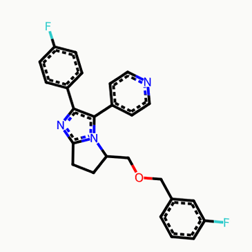 Fc1ccc(-c2nc3n(c2-c2ccncc2)C(COCc2cccc(F)c2)CC3)cc1